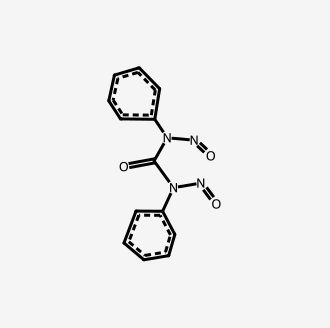 O=NN(C(=O)N(N=O)c1ccccc1)c1ccccc1